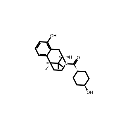 CC1(C)[C@H]2Cc3c(O)cccc3[C@]1(C)CCN2C(=O)[C@H]1CC[C@H](O)CC1